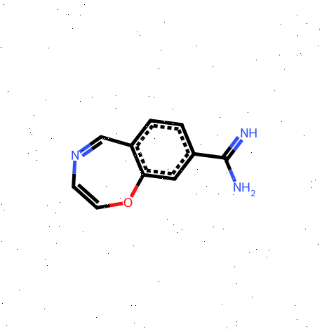 N=C(N)c1ccc2c(c1)OC=CN=C2